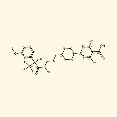 COc1cccc(C(O)(C(=O)N(C)CCCC2CCN(c3cc(C)c(C(=O)O)c(Cl)n3)CC2)C(F)(F)F)c1